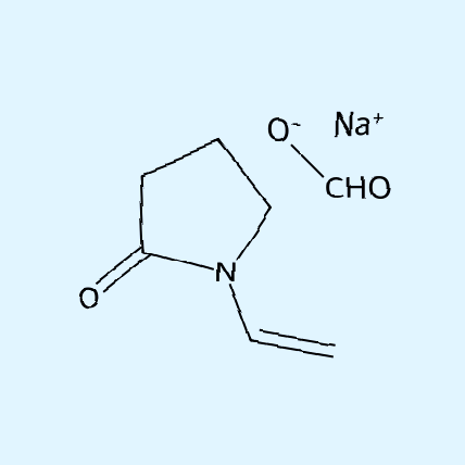 C=CN1CCCC1=O.O=C[O-].[Na+]